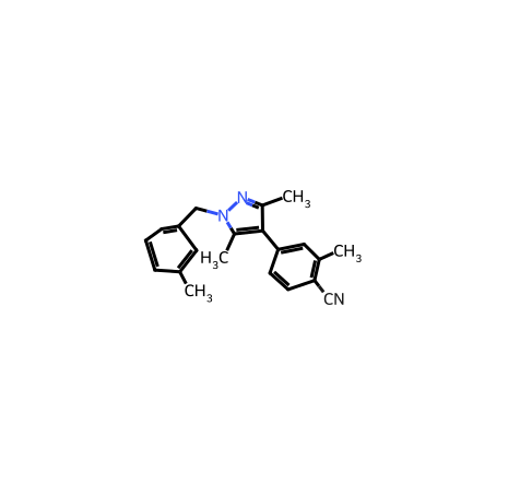 Cc1cccc(Cn2nc(C)c(-c3ccc(C#N)c(C)c3)c2C)c1